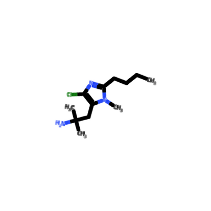 CCCCc1nc(Cl)c(CC(C)(C)N)n1C